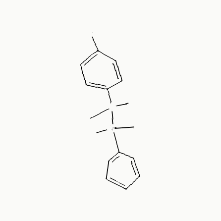 C[Si](C)(c1ccccc1)[Si](C)(C)c1ccc(O)cc1